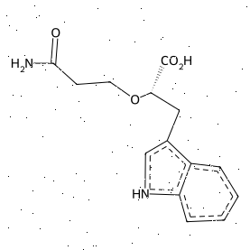 NC(=O)CCO[C@@H](Cc1c[nH]c2ccccc12)C(=O)O